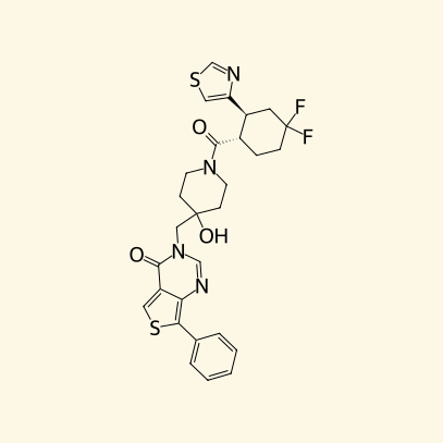 O=C([C@H]1CCC(F)(F)C[C@@H]1c1cscn1)N1CCC(O)(Cn2cnc3c(-c4ccccc4)scc3c2=O)CC1